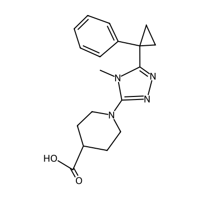 Cn1c(N2CCC(C(=O)O)CC2)nnc1C1(c2ccccc2)CC1